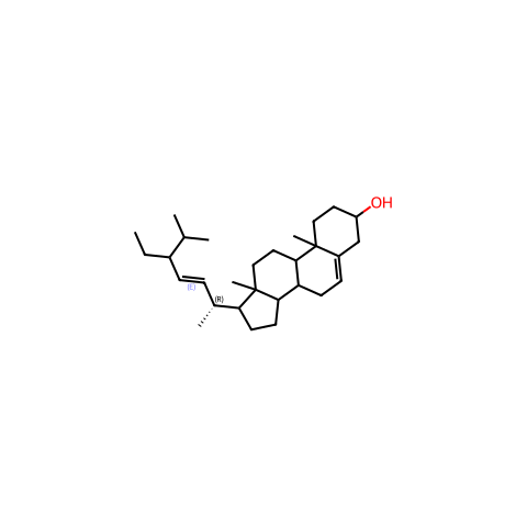 CCC(/C=C/[C@@H](C)C1CCC2C3CC=C4CC(O)CCC4(C)C3CCC21C)C(C)C